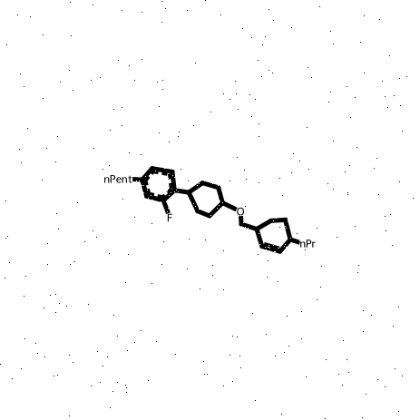 CCCCCc1ccc(C2CCC(OCC3C=CC(CCC)CC3)CC2)c(F)c1